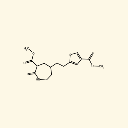 COC(=O)c1csc(CCC2CCNC(=S)C(C(=O)OC)C2)c1